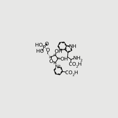 NC(Cc1c[nH]c2ccccc12)C(=O)O.O=C(O)c1ccc[n+]([C@@H]2O[C@H](COP(=O)(O)O)[C@@H](O)[C@H]2O)c1